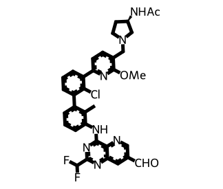 COc1nc(-c2cccc(-c3cccc(Nc4nc(C(F)F)nc5cc(C=O)cnc45)c3C)c2Cl)ccc1CN1CC[C@@H](NC(C)=O)C1